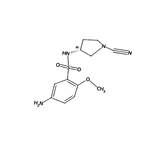 COc1ccc(N)cc1S(=O)(=O)N[C@@H]1CCN(C#N)C1